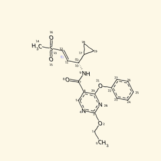 CCOc1ncc(C(=O)N[C@H](/C=C/S(C)(=O)=O)C2CC2)c(Oc2ccccc2)n1